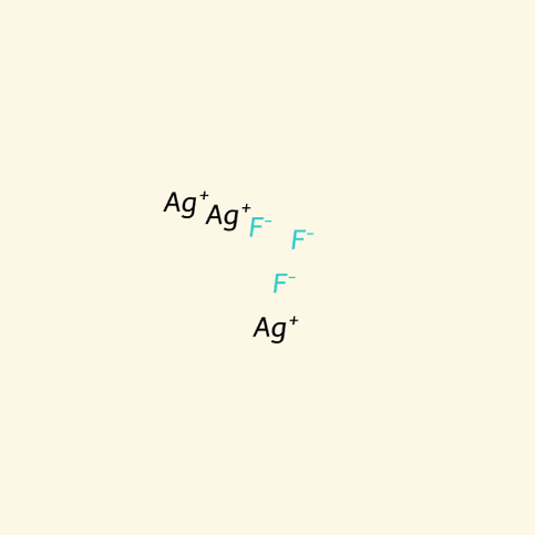 [Ag+].[Ag+].[Ag+].[F-].[F-].[F-]